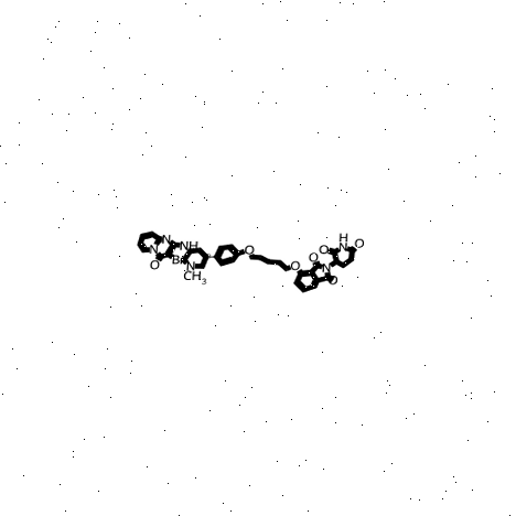 CN1C[C@H](Nc2nc3ccccn3c(=O)c2Br)C[C@H](c2ccc(OCCCCCOc3cccc4c3C(=O)N(C3CCC(=O)NC3=O)C4=O)cc2)C1